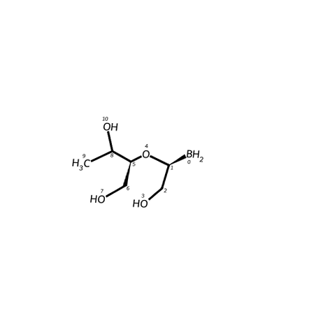 B[C@@H](CO)O[C@@H](CO)C(C)O